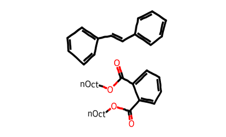 C(=Cc1ccccc1)c1ccccc1.CCCCCCCCOC(=O)c1ccccc1C(=O)OCCCCCCCC